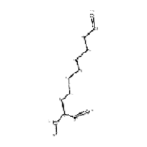 COC([C]=O)CCCCCCC[C]=O